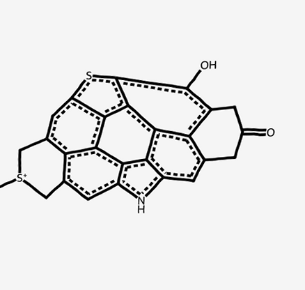 O=C1Cc2cc3[nH]c4cc5c6c(cc7sc8c(O)c(c2c2c3c4c6c7c82)C1)C[S+]([O-])C5